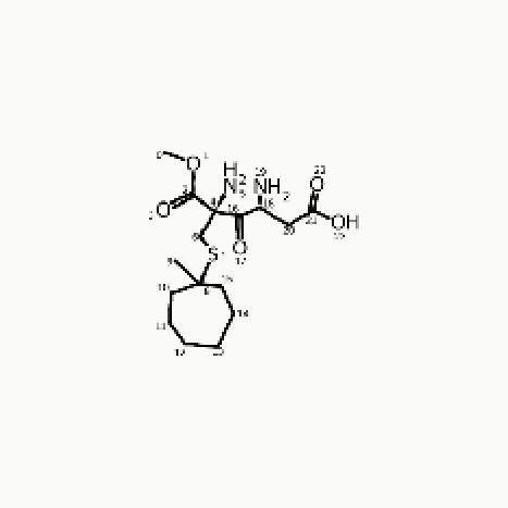 COC(=O)[C@@](N)(CSC1(C)CCCCCC1)C(=O)[C@@H](N)CC(=O)O